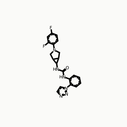 O=C(Nc1ccccc1-n1ccnn1)NC1C2CN(c3ccc(F)cc3F)CC21